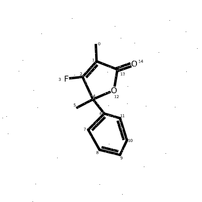 CC1=C(F)C(C)(c2ccccc2)OC1=O